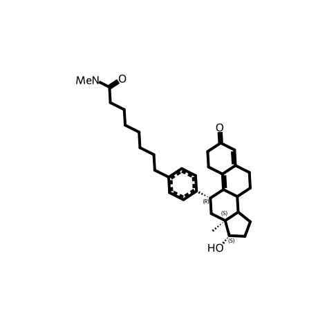 CNC(=O)CCCCCCCc1ccc([C@H]2C[C@@]3(C)C(CC[C@@H]3O)C3CCC4=CC(=O)CCC4=C32)cc1